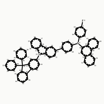 Fc1ccc(N(c2ccc(-c3ccc4c(c3)c3ccccc3n4-c3ccc4c(c3)C(c3ccccc3)(c3ccccc3)c3ccccc3-4)cc2)c2cc3ccccc3c3ccccc23)cc1